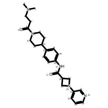 CN(C)CCC(=O)N1CCC(c2ccc(NC(=O)C3CN(c4cccnc4)C3)cc2)CC1